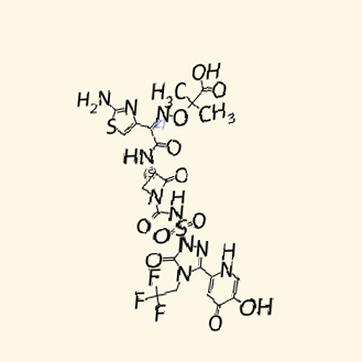 CC(C)(O/N=C(\C(=O)N[C@H]1CN(C(=O)NS(=O)(=O)n2nc(-c3cc(=O)c(O)c[nH]3)n(CC(F)(F)F)c2=O)C1=O)c1csc(N)n1)C(=O)O